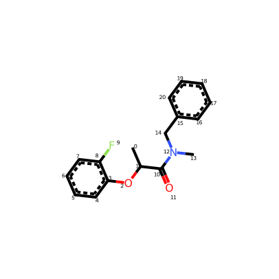 CC(Oc1ccccc1F)C(=O)N(C)Cc1ccccc1